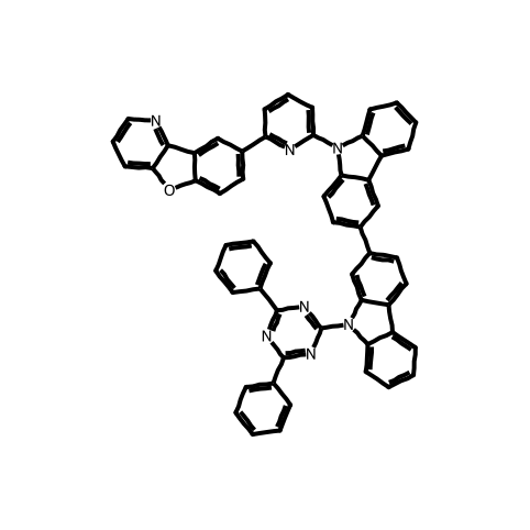 c1ccc(-c2nc(-c3ccccc3)nc(-n3c4ccccc4c4ccc(-c5ccc6c(c5)c5ccccc5n6-c5cccc(-c6ccc7oc8cccnc8c7c6)n5)cc43)n2)cc1